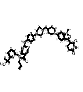 C=CCn1c(=O)c2cnc(Nc3ccc(N4CCN(CC5CCN(c6ccc7c(C8CCC(=O)NC8=O)nn(C)c7c6)CC5)CC4)nc3)nc2n1-c1cccc(C(C)(C)O)n1